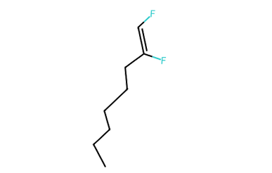 CCCCCC/C(F)=C/F